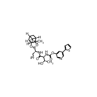 CC(C)C[C@H](NC(=O)[C@@H](NC(=O)Oc1cncc(-c2cccs2)c1)[C@@H](C)O)B1O[C@@H]2C[C@@H]3C[C@@H](C3(C)C)[C@]2(C)O1